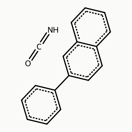 N=C=O.c1ccc(-c2ccc3ccccc3c2)cc1